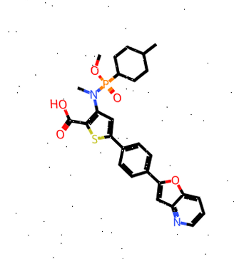 COP(=O)(C1CCC(C)CC1)N(C)c1cc(-c2ccc(-c3cc4ncccc4o3)cc2)sc1C(=O)O